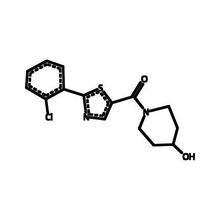 O=C(c1cnc(-c2ccccc2Cl)s1)N1CCC(O)CC1